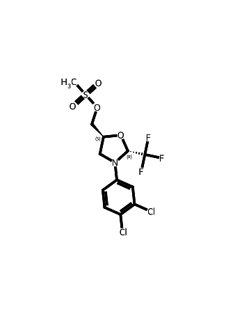 CS(=O)(=O)OC[C@@H]1CN(c2ccc(Cl)c(Cl)c2)[C@@H](C(F)(F)F)O1